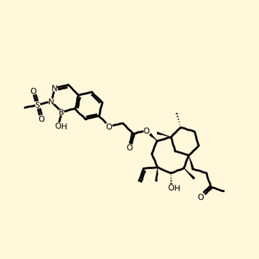 C=C[C@]1(C)C[C@@H](OC(=O)COc2ccc3c(c2)B(O)N(S(C)(=O)=O)N=C3)[C@@]2(C)C[C@](CCC(C)=O)(CC[C@H]2C)[C@@H](C)[C@@H]1O